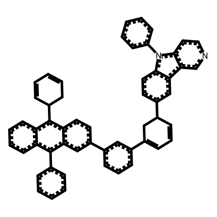 C1=CCC(c2c3ccccc3c(-c3ccccc3)c3cc(-c4cccc(C5=CC=CC(c6ccc7c(c6)c6cnccc6n7-c6ccccc6)C5)c4)ccc23)C=C1